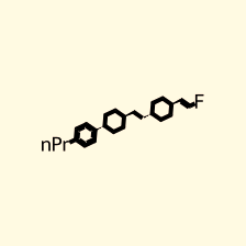 CCCc1ccc([C@H]2CC[C@H](CC[C@H]3CC[C@H](C=CF)CC3)CC2)cc1